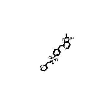 Cc1nc2c(Cc3ccc(S(=O)(=O)N(C)CC4CCCO4)cc3)nccc2[nH]1